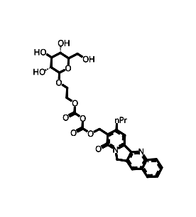 CCCc1cc2n(c(=O)c1COC(=O)OC(=O)OCCOC1OC(CO)[C@@H](O)C(O)[C@H]1O)Cc1cc3ccccc3nc1-2